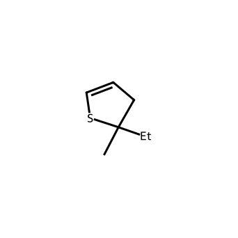 CCC1(C)CC=CS1